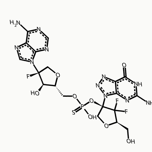 Nc1nc2c(nnn2[C@@]2(OP(O)(=S)OC[C@H]3OC[C@@](F)(n4cnc5c(N)ncnc54)[C@@H]3O)CO[C@H](CO)C2(F)F)c(=O)[nH]1